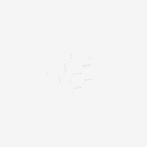 CCCCC(O)O.Cc1cc(O)ccc1C(=O)O.[NaH]